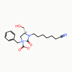 N#CCCCCCCN1C(=O)[N+](Cc2ccccc2)(C(=O)[O-])C[C@@H]1CO